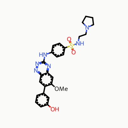 COc1cc2nc(Nc3ccc(S(=O)(=O)NCCN4CCCC4)cc3)nnc2cc1-c1cccc(O)c1